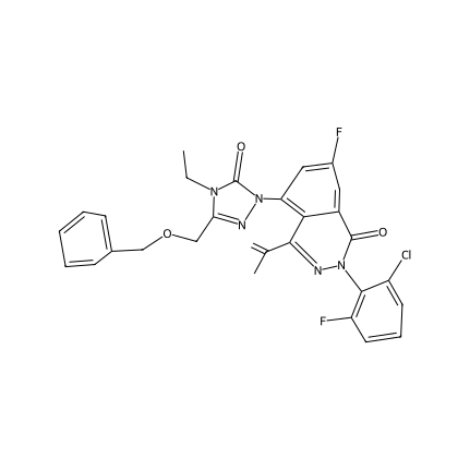 C=C(C)c1nn(-c2c(F)cccc2Cl)c(=O)c2cc(F)cc(-n3nc(COCc4ccccc4)n(CC)c3=O)c12